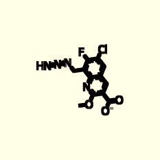 COc1nc2c(CN=[N+]=N)c(F)c(Cl)cc2cc1C(=O)[O-]